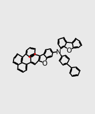 c1ccc(-c2ccc(N(c3ccc4c(c3)oc3cc(-c5cccc6cccc(-c7ccccc7)c56)ccc34)c3cccc4c3oc3ccccc34)cc2)cc1